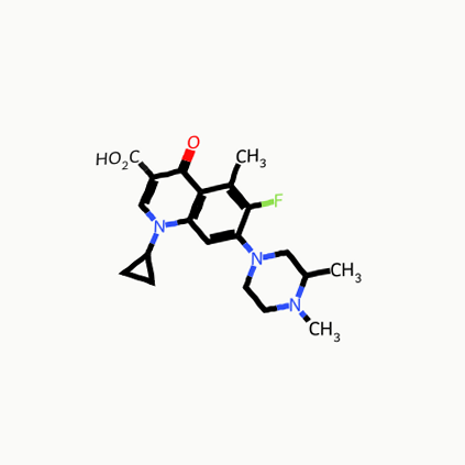 Cc1c(F)c(N2CCN(C)C(C)C2)cc2c1c(=O)c(C(=O)O)cn2C1CC1